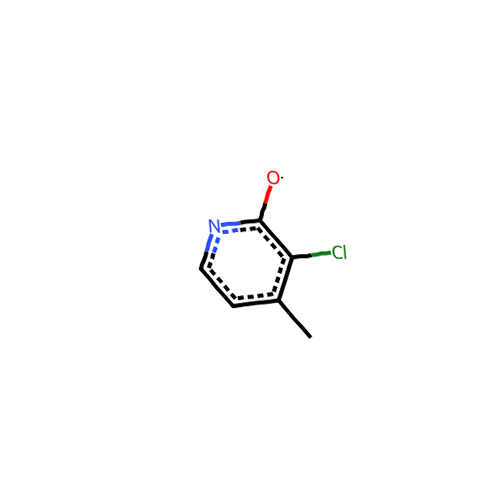 Cc1ccnc([O])c1Cl